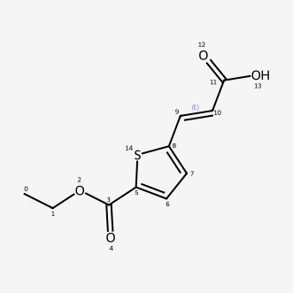 CCOC(=O)c1ccc(/C=C/C(=O)O)s1